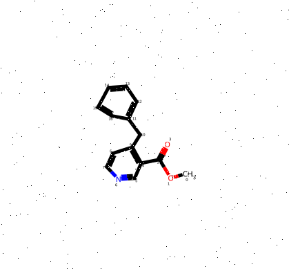 COC(=O)c1cnccc1Cc1ccccc1